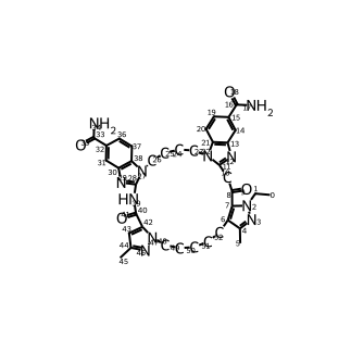 CCn1nc(C)c2c1C(=O)Cc1nc3cc(C(N)=O)ccc3n1CCCCn1c(nc3cc(C(N)=O)ccc31)NC(=O)c1cc(C)nn1CCCCC2